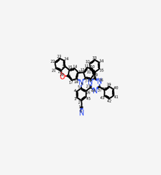 N#Cc1ccc(-n2c3ccccc3c3cc4c(cc32)oc2ccccc24)c(-c2nc(-c3ccccc3)nc(-c3ccccc3)n2)c1